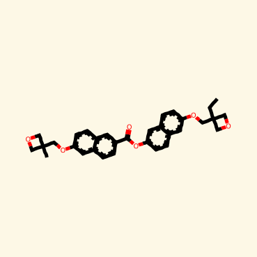 CCC1(COc2ccc3cc(OC(=O)c4ccc5cc(OCC6(C)COC6)ccc5c4)ccc3c2)COC1